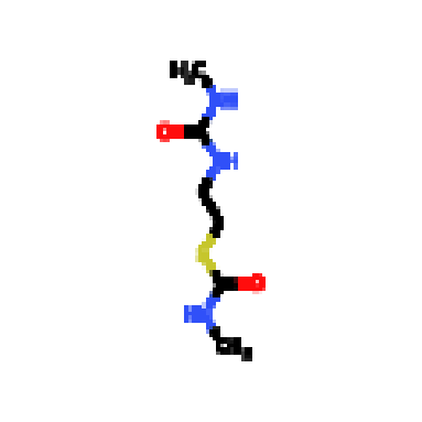 CNC(=O)NCCSC(=O)NC